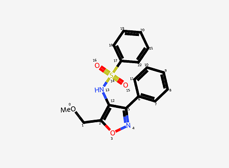 COCc1onc(-c2ccccc2)c1NS(=O)(=O)c1ccccc1